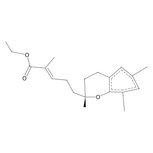 CCOC(=O)/C(C)=C/CC[C@]1(C)CCc2cc(C)cc(C)c2O1